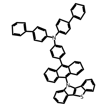 c1ccc(-c2ccc(N(c3ccc(-c4ccccc4)cc3)c3ccc(-c4c5ccccc5c(-n5c6ccccc6c6sc7ccccc7c65)c5ccccc45)cc3)cc2)cc1